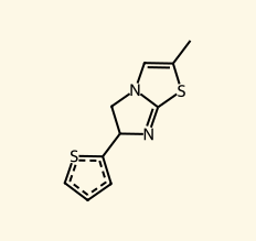 CC1=CN2CC(c3cccs3)N=C2S1